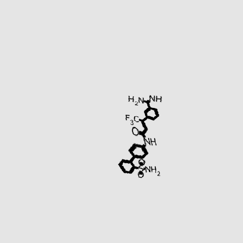 N=C(N)c1cccc(C(=CC(=O)Nc2ccc(-c3ccccc3S(N)(=O)=O)cc2)C(F)(F)F)c1